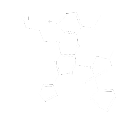 COc1ccccc1Oc1c(OC[C@@H](O)CO)nc(-c2ccsc2)nc1N(CC(C)C)S(=O)(=O)c1ccccc1